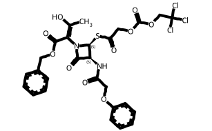 CC(O)=C(C(=O)OCc1ccccc1)N1C(=O)[C@H](NC(=O)COc2ccccc2)[C@@H]1SC(=O)COC(=O)OCC(Cl)(Cl)Cl